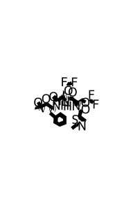 Cc1ncc(C(=O)N[C@H](COC(F)F)C(=O)N[C@H](COC(F)F)C(=O)N[C@H](Cc2ccccc2)C(=O)[C@]2(C)CO2)s1